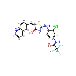 O=C1N=C(Nc2ccc(NC(=O)C(F)(F)F)cc2Cl)SC1=Cc1ccc2ncccc2c1